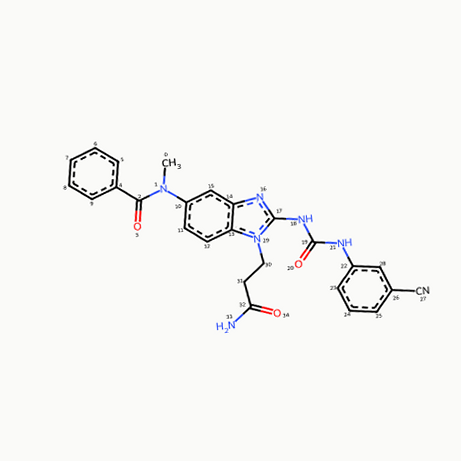 CN(C(=O)c1ccccc1)c1ccc2c(c1)nc(NC(=O)Nc1cccc(C#N)c1)n2CCC(N)=O